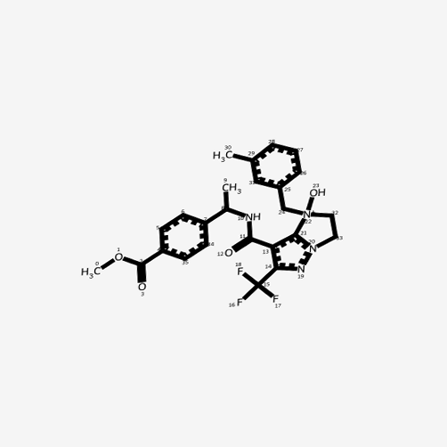 COC(=O)c1ccc(C(C)NC(=O)c2c(C(F)(F)F)nn3c2[N+](O)(Cc2cccc(C)c2)CC3)cc1